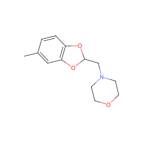 Cc1ccc2c(c1)OC(CN1CCOCC1)O2